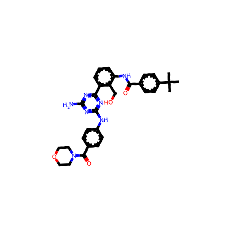 CC(C)(C)c1ccc(C(=O)Nc2cccc(-c3nc(N)nc(Nc4ccc(C(=O)N5CCOCC5)cc4)n3)c2CO)cc1